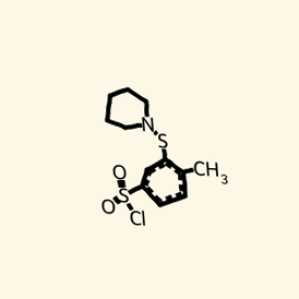 Cc1ccc(S(=O)(=O)Cl)cc1SN1CCCCC1